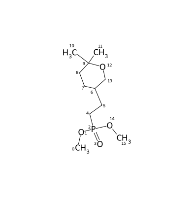 COP(=O)(CCC1CCC(C)(C)OC1)OC